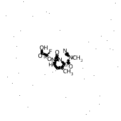 CC1=C[C@@H]2CN(C(=O)N2O[C@H](F)C(=O)O)[C@@H]1C(=O)N(C)C#N